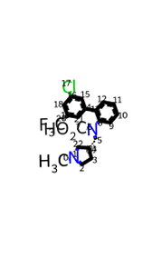 CN1CC[C@@H](CN(C(=O)O)c2ccccc2-c2cc(Cl)cc(C(F)(F)F)c2)C1